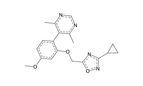 COc1ccc(-c2c(C)ncnc2C)c(OCc2nc(C3CC3)no2)c1